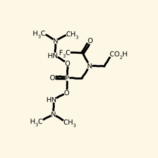 CN(C)NOP(=O)(CN(CC(=O)O)C(=O)C(F)(F)F)ONN(C)C